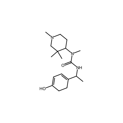 CC(NC(=O)N(C)C1CCN(C)CC1(C)C)C1=CC=C(O)CC1